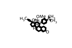 CC#C[C@]1(O)CC[C@H]2[C@@H]3CCC4=CC(=O)CCC4=C3[C@@H](c3ccc(N(C)C)c(OC)c3)C[C@@]21C